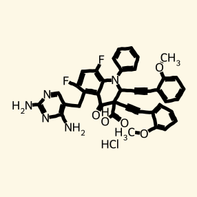 COc1ccccc1C#CC1N(c2ccccc2)c2c(F)cc(F)c(Cc3cnc(N)nc3N)c2C(=O)C1(C#Cc1ccccc1OC)C(=O)O.Cl